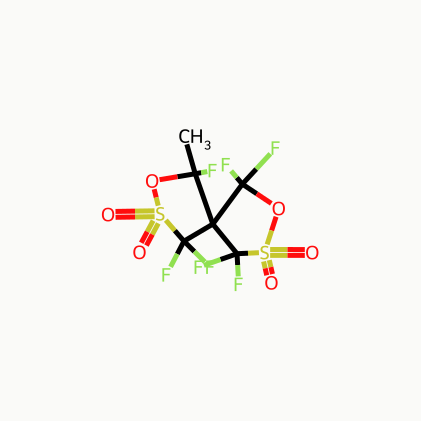 CC1(F)OS(=O)(=O)C(F)(F)C12C(F)(F)OS(=O)(=O)C2(F)F